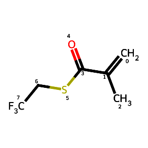 C=C(C)C(=O)SCC(F)(F)F